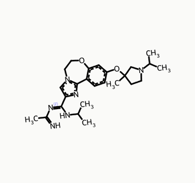 CC(=N)/N=C(\NC(C)C)c1cn2c(n1)-c1ccc(OC3(C)CCN(C(C)C)C3)cc1OCC2